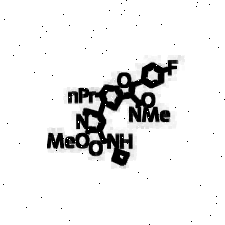 CCCc1cc2oc(-c3ccc(F)cc3)c(C(=O)NC)c2cc1-c1cnc(OC)c(C(=O)NC23CC(C2)C3)c1